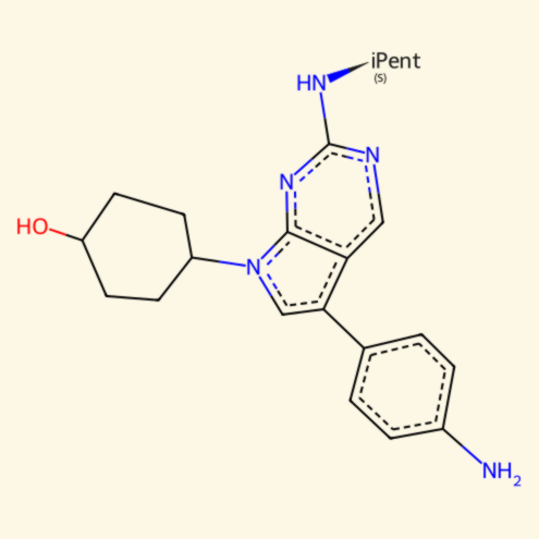 CCC[C@H](C)Nc1ncc2c(-c3ccc(N)cc3)cn(C3CCC(O)CC3)c2n1